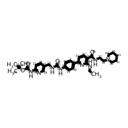 CCNc1nc(-c2ccc(NC(=O)NCc3ccc(NC(=O)OC(C)(C)C)nc3)cc2)ccc1C(=O)NCCN1CCCCC1